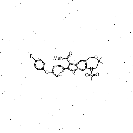 CNC(=O)c1c(-c2ccc(Oc3ccc(F)cc3)cc2)oc2cc3c(cc12)COC(C)(C)CN3S(C)(=O)=O